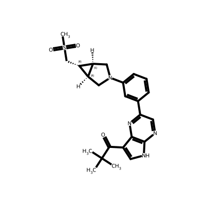 CC(C)(C)C(=O)c1c[nH]c2ncc(-c3cccc(N4C[C@@H]5[C@H](C4)[C@H]5CS(C)(=O)=O)c3)nc12